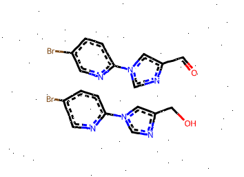 O=Cc1cn(-c2ccc(Br)cn2)cn1.OCc1cn(-c2ccc(Br)cn2)cn1